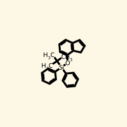 CC(C)(C)[Si](Oc1cccc2c1CC=C2)(c1ccccc1)c1ccccc1